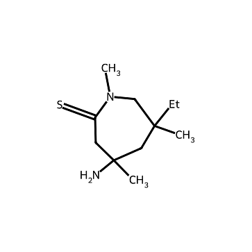 CCC1(C)CN(C)C(=S)CC(C)(N)C1